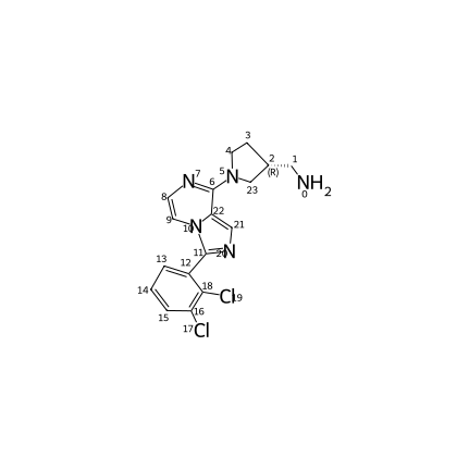 NC[C@H]1CCN(c2nccn3c(-c4cccc(Cl)c4Cl)ncc23)C1